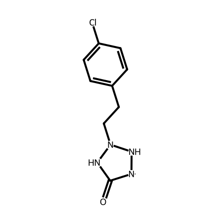 O=C1[N]NN(CCc2ccc(Cl)cc2)N1